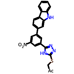 CC(=O)CSc1nnc(-c2cc(-c3ccc4c(c3)[nH]c3ccccc34)cc([N+](=O)[O-])c2)[nH]1